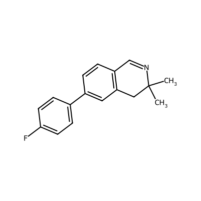 CC1(C)Cc2cc(-c3ccc(F)cc3)ccc2C=N1